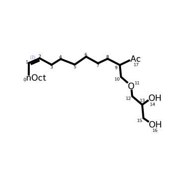 CCCCCCCC/C=C\CCCCCCC(COCC(O)CO)C(C)=O